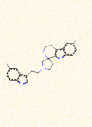 COc1ccc2[nH]c3c(c2c1)CCNC31CCN(CCc2c[nH]c3ccc(C)cc23)C1